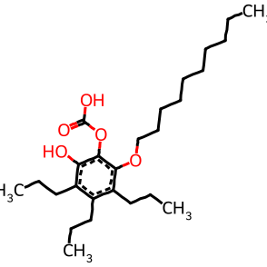 CCCCCCCCCCOc1c(CCC)c(CCC)c(CCC)c(O)c1OC(=O)O